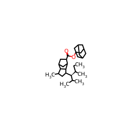 CCC(C)[C@@H](C(C)C)C1CC(C)C2C3CC(C(=O)OC45CC6CC(CC(C6)C4)C5)C(C3)C21